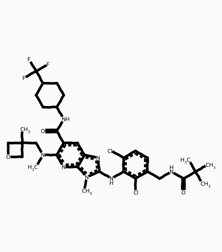 CN(CC1(C)COC1)c1nc2c(cc1C(=O)NC1CCC(C(F)(F)F)CC1)nc(Nc1c(Cl)ccc(CNC(=O)C(C)(C)C)c1Cl)n2C